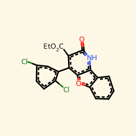 CCOC(=O)c1c(-c2cc(Cl)ccc2Cl)c2oc3ccccc3c2[nH]c1=O